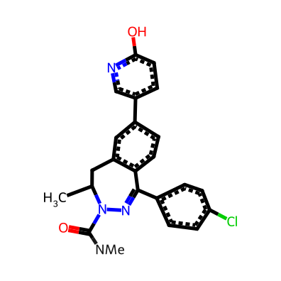 CNC(=O)N1N=C(c2ccc(Cl)cc2)c2ccc(-c3ccc(O)nc3)cc2CC1C